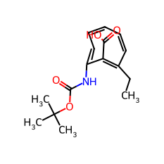 CCC1=C(C(=O)O)\C(NC(=O)OC(C)(C)C)=C\C=C/C=C\1